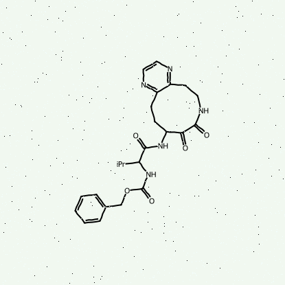 CC(C)C(NC(=O)OCc1ccccc1)C(=O)NC1CCc2nccnc2CCNC(=O)C1=O